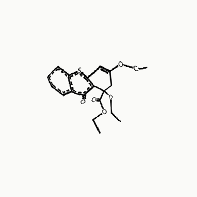 CCOC(=O)C1(OCC)CC(OCC)=Cc2sc3ccccc3c(=O)c21